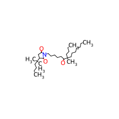 CCCCCCCC(C)(CCCC)C(=O)CCCCCN1C(=O)CC(C(C)(C)CCCC)C1=O